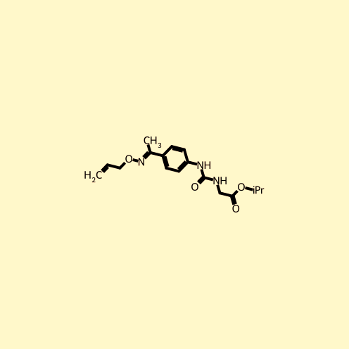 C=CCON=C(C)c1ccc(NC(=O)NCC(=O)OC(C)C)cc1